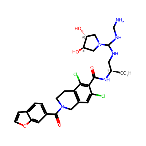 NCNC(NC[C@H](NC(=O)c1c(Cl)cc2c(c1Cl)CCN(C(=O)c1ccc3ccoc3c1)C2)C(=O)O)N1C[C@@H](O)[C@H](O)C1